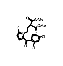 COC(=O)C(CCn1c(Cl)ccc1C(=O)c1ccc(Cl)cc1Cl)C(=O)OC